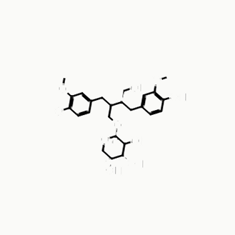 COc1cc(CC(CO[C@@H]2OC[C@@H](O)[C@H](O)C2O)[C@@H](CO)Cc2ccc(O)c(OC)c2)ccc1O